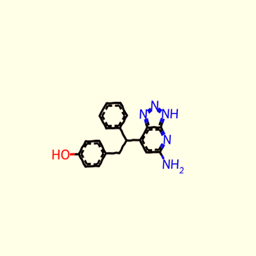 Nc1cc(C(Cc2ccc(O)cc2)c2ccccc2)c2nn[nH]c2n1